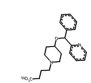 O=C(O)CCCN1CCC(OC(c2ccccc2)c2ccccn2)CC1